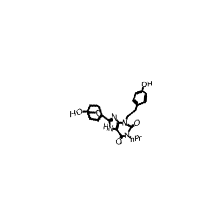 CCCn1c(=O)c2[nH]c(C34CCC(O)(CC3)CC4)nc2n(CCc2ccc(O)cc2)c1=O